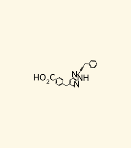 O=C(O)c1ccc(Cc2cnc3[nH]c(C#CCc4ccccc4)nc3c2)cc1